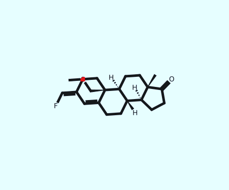 CSC[C@]12CC/C(=C/F)C=C1CC[C@@H]1[C@@H]2CC[C@]2(C)C(=O)CC[C@@H]12